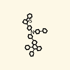 c1ccc(-c2ccc(N(c3ccc(-c4cccc5c4sc4ccccc45)cc3)c3cccc(-c4ccc5c(c4)c(-c4ccccc4)c(-c4ccccc4)c4ccccc45)c3)cc2)cc1